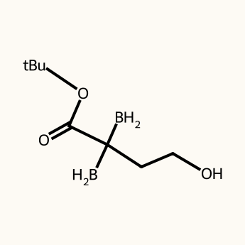 BC(B)(CCO)C(=O)OC(C)(C)C